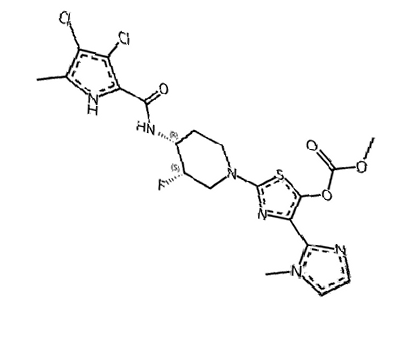 COC(=O)Oc1sc(N2CC[C@@H](NC(=O)c3[nH]c(C)c(Cl)c3Cl)[C@@H](F)C2)nc1-c1nccn1C